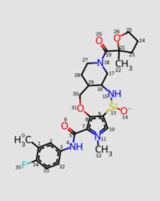 Cc1cc(NC(=O)c2c3c(cn2C)[S+]([O-])NC2CN(C(=O)C4(C)CCCO4)CCC2CO3)ccc1F